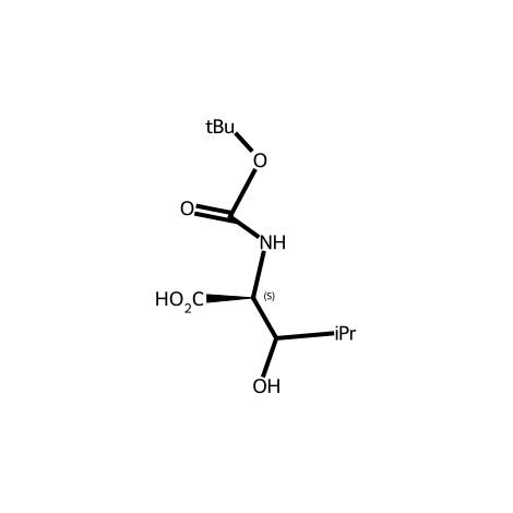 CC(C)C(O)[C@H](NC(=O)OC(C)(C)C)C(=O)O